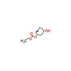 CCOC(=O)OC1/C=C/CCC(O)CC1